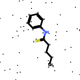 CCCCC(=S)Nc1ccccc1